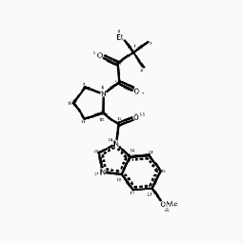 CCC(C)(C)C(=O)C(=O)N1CCCC1C(=O)n1cnc2cc(OC)ccc21